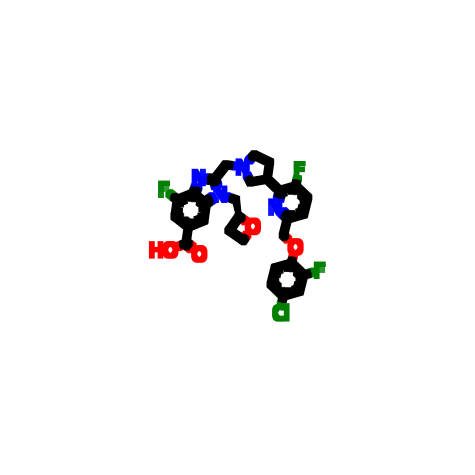 O=C(O)c1cc(F)c2nc(CN3CCC(c4nc(COc5ccc(Cl)cc5F)ccc4F)C3)n(C[C@@H]3CCO3)c2c1